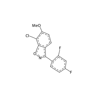 COc1ccc2c(-c3ccc(F)cc3F)noc2c1Cl